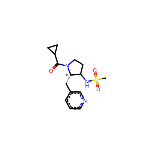 CS(=O)(=O)NC1CCN(C(=O)C2CC2)[C@H]1Cc1cccnc1